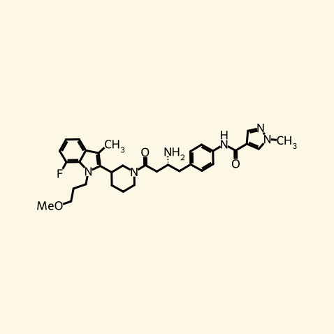 COCCCn1c(C2CCCN(C(=O)C[C@H](N)Cc3ccc(NC(=O)c4cnn(C)c4)cc3)C2)c(C)c2cccc(F)c21